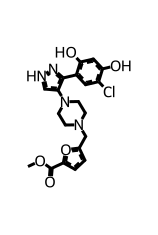 COC(=O)c1ccc(CN2CCN(c3c[nH]nc3-c3cc(Cl)c(O)cc3O)CC2)o1